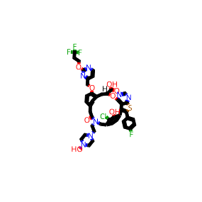 O=C(O)[C@H]1Cc2cc(ccc2OCc2ccnc(OCCC(F)(F)F)n2)CC(=O)N(CCN2CCN(O)CC2)Cc2ccc(c(O)c2Cl)-c2c(-c3ccc(F)cc3)sc3ncnc(c23)O1